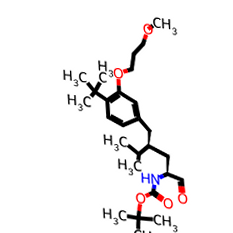 COCCCOc1cc(C[C@@H](C[C@@H](C=O)NC(=O)OC(C)(C)C)C(C)C)ccc1C(C)(C)C